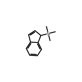 C[Si](C)(C)C1C=Cc2ccccc21